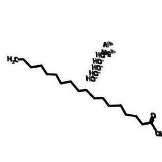 CCCCCCCCCCCCCCCCCC(=O)O.[Al+3].[Mg+2].[OH-].[OH-].[OH-].[OH-].[OH-]